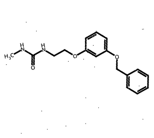 CNC(=O)NCCOc1c[c]cc(OCc2ccccc2)c1